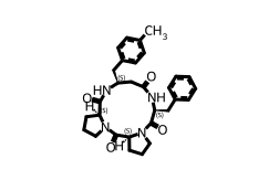 Cc1ccc(C[C@H]2CC(=O)N[C@@H](Cc3ccccc3)C(=O)N3CCC[C@H]3C(=O)N3CCC[C@H]3C(=O)N2)cc1